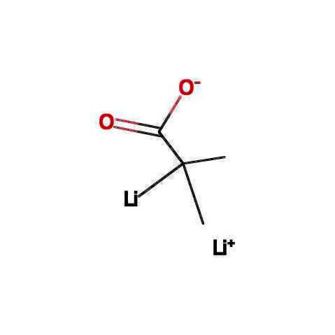 [Li+].[Li][C](C)(C)C(=O)[O-]